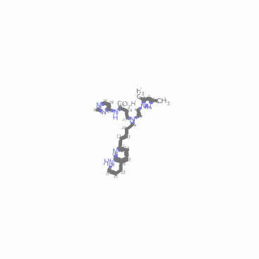 Cc1cc(C)n(CCN(CCCCc2ccc3c(n2)NCCC3)CCC(Nc2ccncn2)C(=O)O)n1